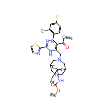 COC(=O)C1=C(CN2CC3COCC(C2)CC(CC(C)=O)(NC(=O)OC(C)(C)C)C3)NC(c2nccs2)=N[C@H]1c1ccc(F)cc1Cl